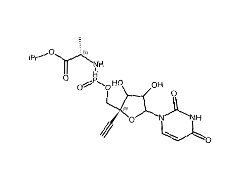 C#C[C@]1(CO[PH](=O)N[C@@H](C)C(=O)OC(C)C)OC(n2ccc(=O)[nH]c2=O)C(O)C1O